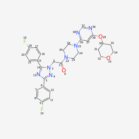 O=C(Cn1nc(-c2ccc(F)cc2)nc1-c1ccc(F)cc1)N1CCN(c2cc(OC3CCOCC3)ncn2)CC1